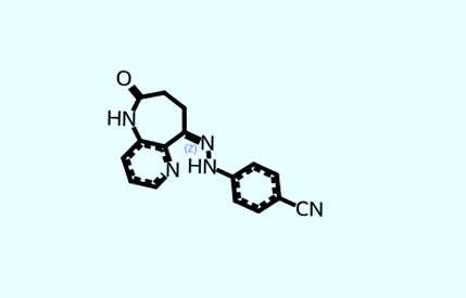 N#Cc1ccc(N/N=C2/CCC(=O)Nc3cccnc32)cc1